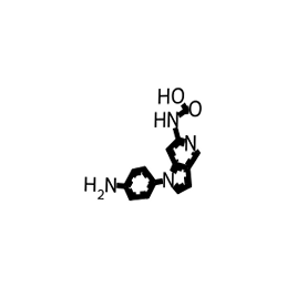 Nc1ccc(-n2ccc3cnc(NC(=O)O)cc32)cc1